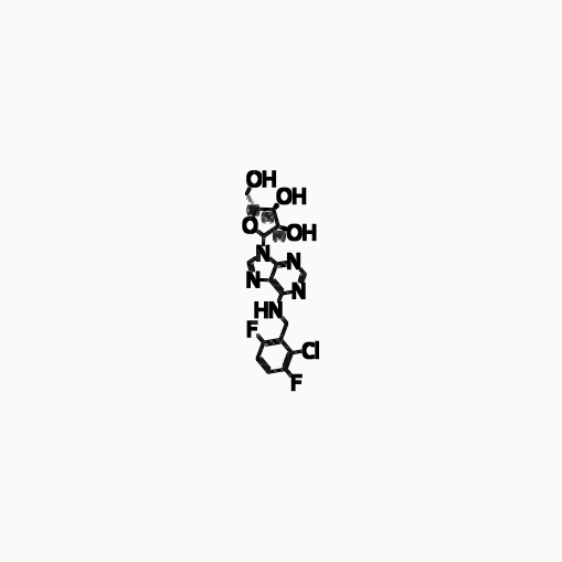 OC[C@H]1OC(n2cnc3c(NCc4c(F)ccc(F)c4Cl)ncnc32)[C@H](O)[C@@H]1O